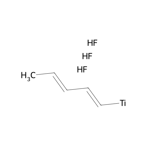 CC=CC=[CH][Ti].F.F.F